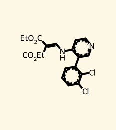 CCOC(=O)C(=CNc1ccncc1-c1cccc(Cl)c1Cl)C(=O)OCC